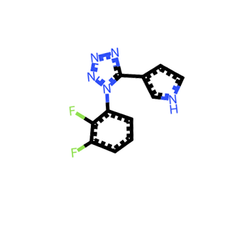 Fc1cccc(-n2nnnc2-c2cc[nH]c2)c1F